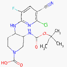 CC(C)(C)OC(=O)NC1CN(C(=O)O)CCC1Nc1nc(Cl)c(C#N)cc1F